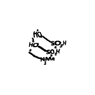 CNC.O=S(=O)(O)O.O=S(=O)(O)O